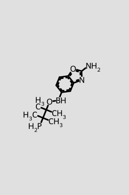 CC(C)(P)C(C)(C)OBc1ccc2oc(N)nc2c1